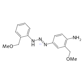 COCc1cc(/N=N/Nc2ccccc2COC)ccc1N